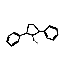 CC(C)P1C(c2ccccc2)CCC1c1ccccc1